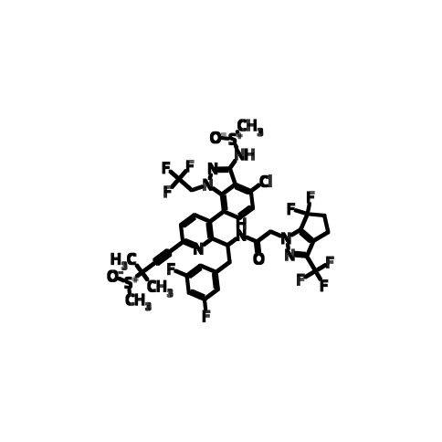 C[S+]([O-])Nc1nn(CC(F)(F)F)c2c(-c3ccc(C#CC(C)(C)[S+](C)[O-])nc3C(Cc3cc(F)cc(F)c3)NC(=O)Cn3nc(C(F)(F)F)c4c3C(F)(F)CC4)ccc(Cl)c12